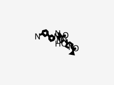 N#Cc1cccc(-c2cccc(-n3ncc4c(=O)n(CC5(O)CCN(C(=O)C6CC6)CC5)cnc43)c2)c1